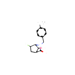 COc1ccc(CN2C(=O)C3CC(F)C2C3O)cc1